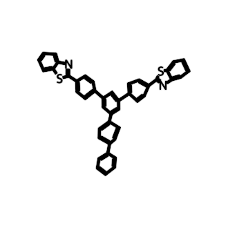 c1ccc(-c2ccc(-c3cc(-c4ccc(-c5nc6ccccc6s5)cc4)cc(-c4ccc(-c5nc6ccccc6s5)cc4)c3)cc2)cc1